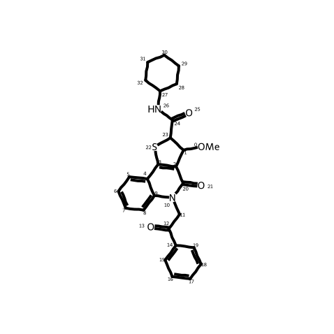 COC1c2c(c3ccccc3n(CC(=O)c3ccccc3)c2=O)SC1C(=O)NC1CCCCC1